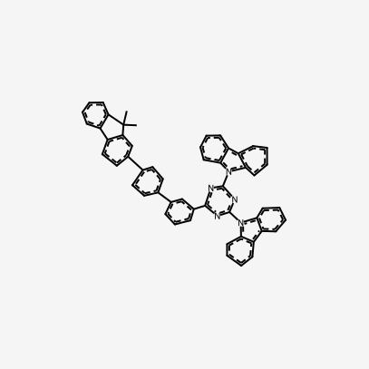 CC1(C)c2ccccc2-c2ccc(-c3ccc(-c4cccc(-c5nc(-n6c7ccccc7c7ccccc76)nc(-n6c7ccccc7c7ccccc76)n5)c4)cc3)cc21